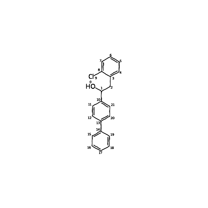 OC(Cc1ccccc1Cl)c1ccc(-c2ccccc2)cc1